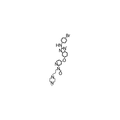 CN1CCN(CCCN(C=O)c2cc(Oc3ccc4c(c3)nc(Nc3ccc(Br)cc3)n4C)ccn2)CC1